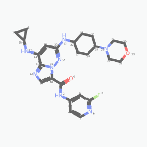 O=C(Nc1ccnc(F)c1)c1cnc2c(NC3CC3)cc(NC3CCC(N4CCOCC4)CC3)nn12